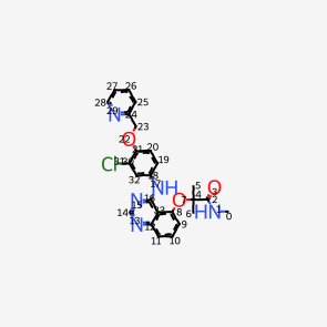 CNC(=O)C(C)(C)Oc1cccc2ncnc(Nc3ccc(OCc4ccccn4)c(Cl)c3)c12